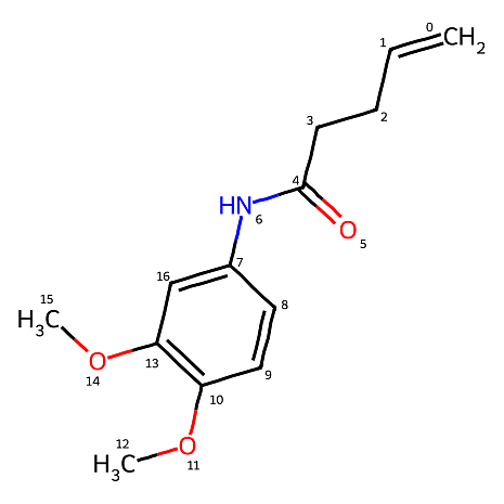 C=CCCC(=O)Nc1ccc(OC)c(OC)c1